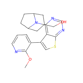 COc1ncccc1-c1csc2ncnc(N3C4CCC3CC(CO)C4)c12